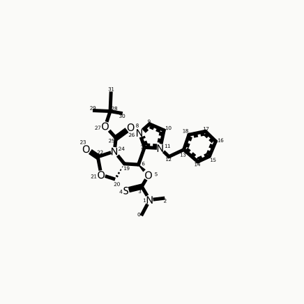 CN(C)C(=S)O[C@H](c1nccn1Cc1ccccc1)[C@@H]1COC(=O)N1C(=O)OC(C)(C)C